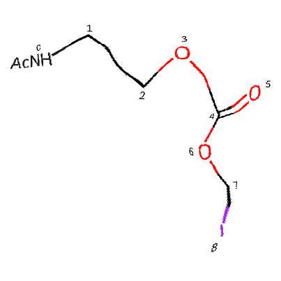 CC(=O)NCCOC(=O)OCI